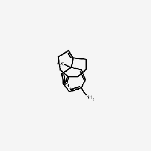 C=C1CC/C=C(\C2(C)C=CC=C(N)C=C2)CCC1